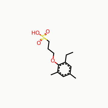 CCc1cc(C)cc(C)c1OCCCS(=O)(=O)O